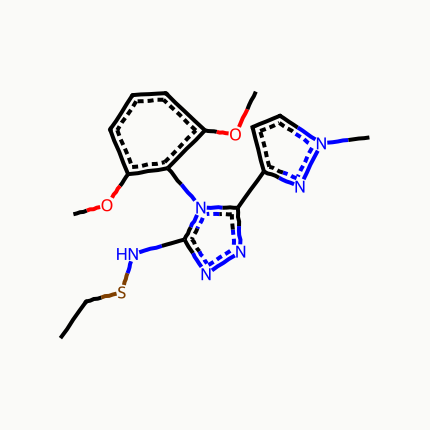 CCSNc1nnc(-c2ccn(C)n2)n1-c1c(OC)cccc1OC